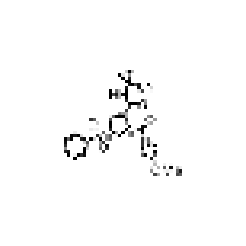 COC1CN(C(=O)[C@@H]2C[C@H](S(=O)(=O)c3ccccc3)C[C@H]2C(=O)NC2(C#N)CC2)C1